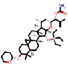 C=C(C)[C@@H](OC(N)=O)[C@H]1C[C@@H](C)[C@H]2[C@H](O1)[C@H](O[Si](CC)(CC)CC)[C@@]1(C)[C@@H]3CC[C@H]4C(C)(C)C(O[C@H]5CCCCO5)CCC45C[C@@]35CC[C@]21C